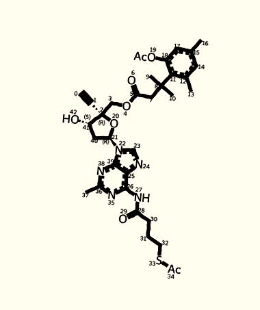 C#C[C@]1(COC(=O)CC(C)(C)c2c(C)cc(C)cc2OC(C)=O)O[C@@H](n2cnc3c(NC(=O)CCCSC(C)=O)nc(C)nc32)C[C@@H]1O